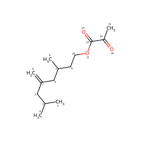 C=C(CC(C)C)CC(C)CCOC(=O)C(C)=O